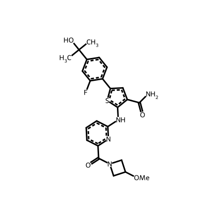 COC1CN(C(=O)c2cccc(Nc3sc(-c4ccc(C(C)(C)O)cc4F)cc3C(N)=O)n2)C1